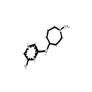 CN1CCCC(Oc2cncc(Cl)n2)CC1